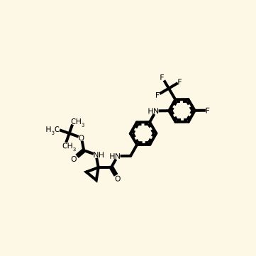 CC(C)(C)OC(=O)NC1(C(=O)NCc2ccc(Nc3ccc(F)cc3C(F)(F)F)cc2)CC1